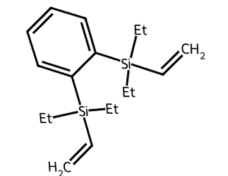 C=C[Si](CC)(CC)c1ccccc1[Si](C=C)(CC)CC